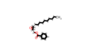 CCCCCCCCCC[C@H]1O[C@H]1COC(=O)c1ccccc1